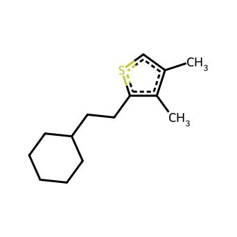 Cc1csc(CCC2CCCCC2)c1C